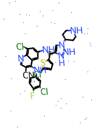 N#Cc1cnc2c(Cl)cc(N[C@H](C3=CN(C4CCNCC4)NN3)c3ccc(Cl)s3)cc2c1Nc1ccc(F)c(Cl)c1